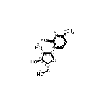 Cc1ccn([C@@H]2S[C@H](CO)[C@@H](O)[C@@H]2O)c(=O)n1